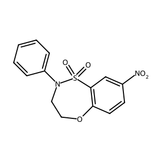 O=[N+]([O-])c1ccc2c(c1)S(=O)(=O)N(c1ccccc1)CCO2